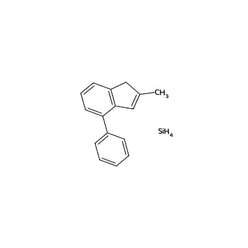 CC1=Cc2c(cccc2-c2ccccc2)C1.[SiH4]